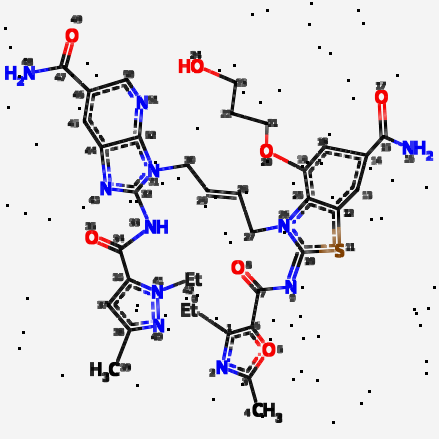 CCc1nc(C)oc1C(=O)N=c1sc2cc(C(N)=O)cc(OCCCO)c2n1C/C=C/Cn1c(NC(=O)c2cc(C)nn2CC)nc2cc(C(N)=O)cnc21